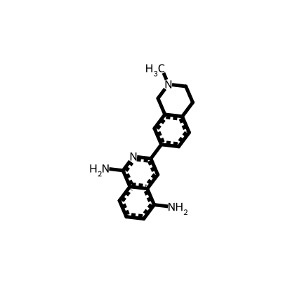 CN1CCc2ccc(-c3cc4c(N)cccc4c(N)n3)cc2C1